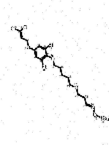 CCc1cc(OCC=C(Cl)Cl)cc(CC)c1OCCCCCOCCC=NOC(C)(C)C